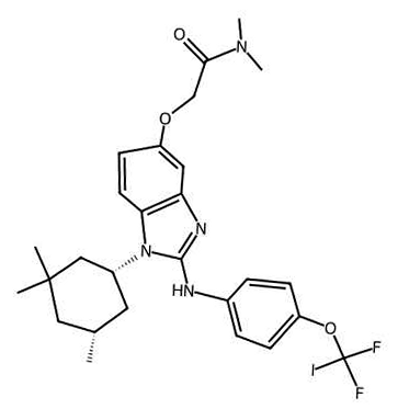 C[C@H]1C[C@@H](n2c(Nc3ccc(OC(F)(F)I)cc3)nc3cc(OCC(=O)N(C)C)ccc32)CC(C)(C)C1